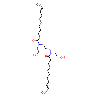 CCCCCCCCC=CCCCCCCCC(=O)N(CCO)CCCN(CCO)C(=O)CCCCCCCC=CCCCCCCCC